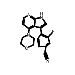 N#Cc1ccc(-c2c[nH]c3nccc(N4CCOCC4)c23)c(F)c1